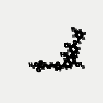 CNc1ccc(-c2ccc(/C=N/CCS(C)(=O)=O)o2)cc1C(=N)Nc1ccc(OCc2cccc(F)c2)c(Cl)c1